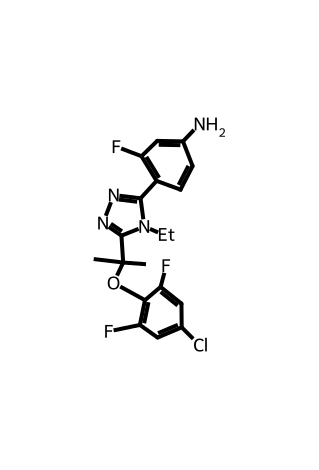 CCn1c(-c2ccc(N)cc2F)nnc1C(C)(C)Oc1c(F)cc(Cl)cc1F